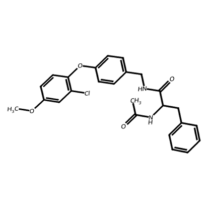 COc1ccc(Oc2ccc(CNC(=O)C(Cc3ccccc3)NC(C)=O)cc2)c(Cl)c1